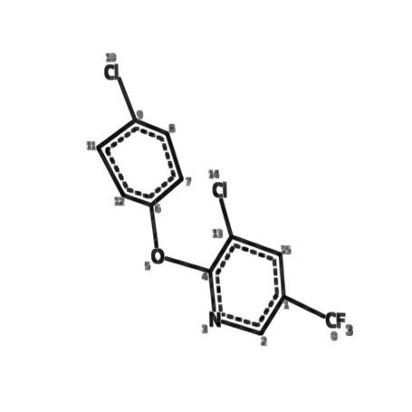 FC(F)(F)c1cnc(Oc2ccc(Cl)cc2)c(Cl)c1